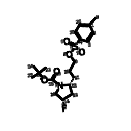 Cc1ccc(S(=O)(=O)OCCC[C@@H]2C[C@H](F)CN2C(=O)OC(C)(C)C)cc1